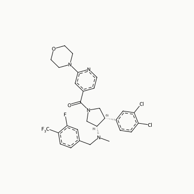 CN(Cc1ccc(C(F)(F)F)c(F)c1)[C@@H]1CN(C(=O)c2ccnc(N3CCOCC3)c2)C[C@@H]1c1ccc(Cl)c(Cl)c1